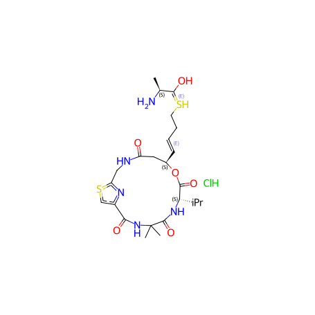 CC(C)[C@@H]1NC(=O)C(C)(C)NC(=O)c2csc(n2)CNC(=O)C[C@@H](/C=C/CC/[SH]=C(/O)[C@H](C)N)OC1=O.Cl